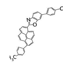 Cc1ccc(-c2ccc3nc(-c4ccc5ccc6c(-c7ccc(C)cc7)ccc7ccc4c5c76)oc3c2)cc1